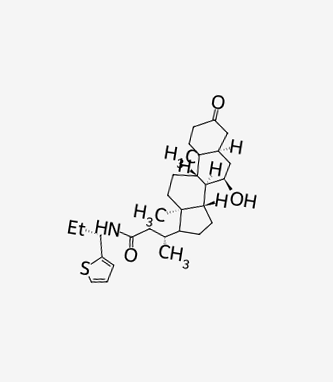 CC[C@H](NC(=O)C[C@@H](C)C1CC[C@H]2[C@@H]3[C@H](O)C[C@@H]4CC(=O)CC[C@]4(C)[C@H]3CC[C@]12C)c1cccs1